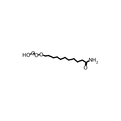 NC(=O)CCCCCCCCCCOOOO